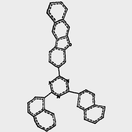 c1ccc2cc(-c3nc(-c4ccc5c(c4)oc4cc6ccccc6cc45)nc(-c4cccc5ccccc45)n3)ccc2c1